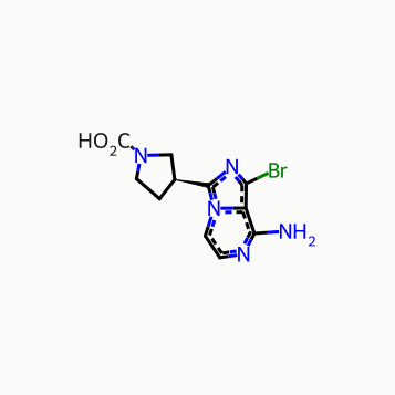 Nc1nccn2c([C@H]3CCN(C(=O)O)C3)nc(Br)c12